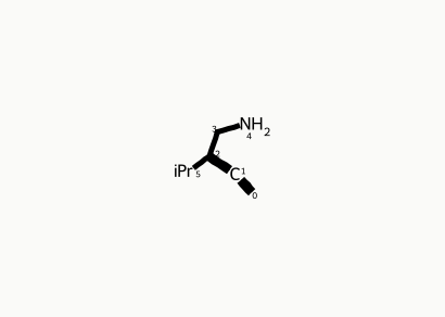 C=C=C(CN)C(C)C